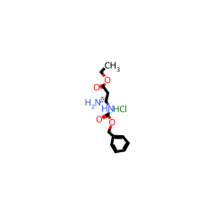 CCOC(=O)C[C@@H](N)NC(=O)OCc1ccccc1.Cl